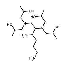 CC(O)CN(CC(C)O)CC(C(N)CCCN)N(CC(C)O)CC(C)O